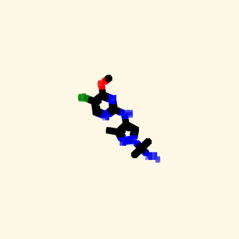 COc1nc(Nc2cn(C(C)(C)N)nc2C)ncc1Cl